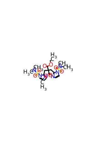 CCOC(=O)C(Cc1nccn1S(=O)(=O)N(C)C)(Cc1nccn1S(=O)(=O)N(C)C)C(=O)OCC